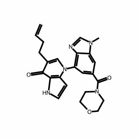 C=CCCc1cn(-c2cc(C(=O)N3CCOCC3)cc3c2ncn3C)c2cc[nH]c2c1=O